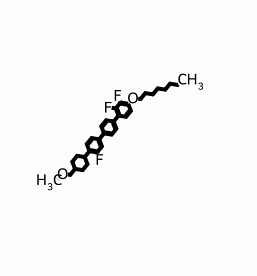 CCCCCCCCOc1ccc(-c2ccc(-c3ccc(C4CCC(COC)CC4)c(F)c3)cc2)c(F)c1F